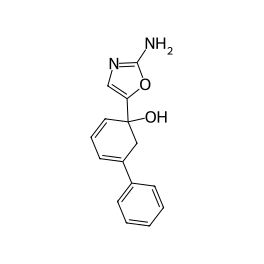 Nc1ncc(C2(O)C=CC=C(c3ccccc3)C2)o1